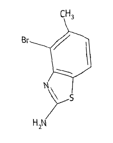 Cc1ccc2sc(N)nc2c1Br